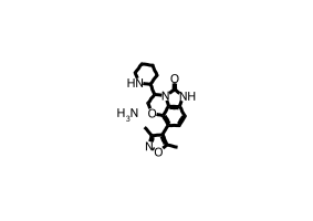 Cc1noc(C)c1-c1ccc2[nH]c(=O)n3c2c1OCC3C1CCCCN1.N